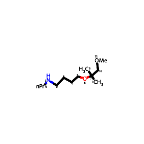 CCCNCCCCOC(C)(C)COC